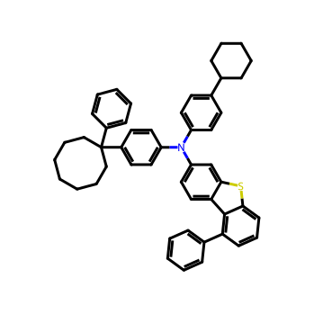 c1ccc(-c2cccc3sc4cc(N(c5ccc(C6CCCCC6)cc5)c5ccc(C6(c7ccccc7)CCCCCCC6)cc5)ccc4c23)cc1